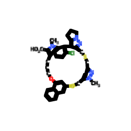 Cn1nc2cc1CSc1cc(c3ccccc3c1)OCCCc1c(C(=O)O)n(C)c3c(c(Cl)ccc13)-c1c(nn3c1CCC3)CSC2